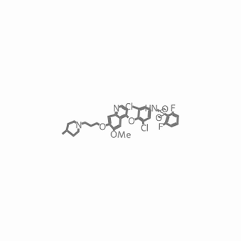 COc1cc2c(Oc3c(Cl)cc(NS(=O)(=O)c4c(F)cccc4F)cc3Cl)ccnc2cc1OCCCN1CCC(C)CC1